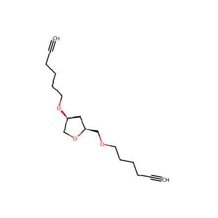 C#CCCCCOC[C@@H]1C[C@H](OCCCCC#C)CO1